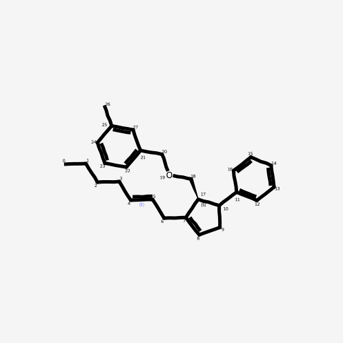 CCCC/C=C/CC1=CCC(c2ccccc2)[C@@H]1COCc1cccc(C)c1